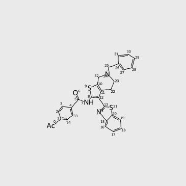 CC(=O)c1ccc(C(=O)Nc2sc3c(c2-c2nc4ccccc4s2)CCN(Cc2ccccc2)C3)cc1